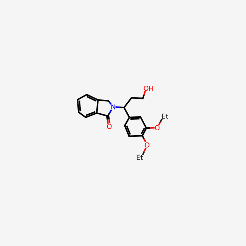 CCOc1ccc(C(CCO)N2Cc3ccccc3C2=O)cc1OCC